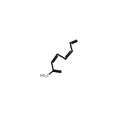 C=C/C=C\C=C/C(=C)C(=O)O